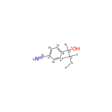 CCC(C)(C)C(C)(O)c1ccc(C#N)cc1